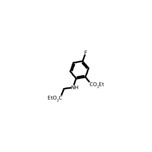 CCOC(=O)CNc1ccc(F)cc1C(=O)OCC